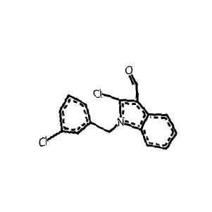 O=Cc1c(Cl)n(Cc2cccc(Cl)c2)c2ccccc12